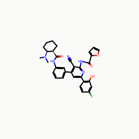 CN(C)[C@H]1CCCC[C@H]1C(=O)Nc1cccc(-c2cc(-c3ccc(F)cc3O)nc(NC(=O)c3ccco3)c2C#N)c1